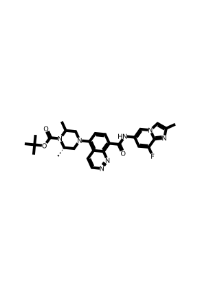 Cc1cn2cc(NC(=O)c3ccc(N4CC(C)N(C(=O)OC(C)(C)C)[C@@H](C)C4)c4ccnnc34)cc(F)c2n1